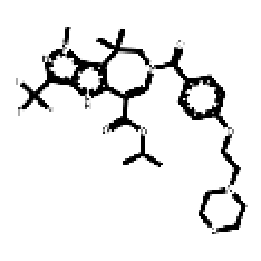 CC(C)OC(=O)C1=CN(C(=O)c2ccc(OCCN3CCOCC3)cc2)CC(C)(C)c2c1[nH]c1c(C(F)(F)F)nn(C)c21